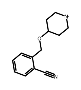 N#Cc1ccccc1COC1CC[N]CC1